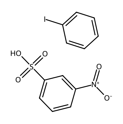 Ic1ccccc1.O=[N+]([O-])c1cccc(S(=O)(=O)O)c1